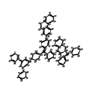 c1ccc(-c2cc(-c3ccccc3)cc(-c3ccc(N(c4ccc(-c5ccc6c(ccc7ccccc76)c5)cc4)c4cccc(-c5c6ccccc6cc6c5c5ccccc5n6-c5ccccc5)c4)cc3)c2)cc1